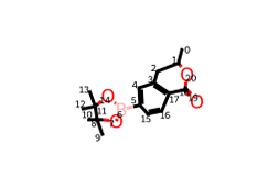 CC1Cc2cc(B3OC(C)(C)C(C)(C)O3)ccc2C(=O)O1